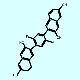 OC1=Cc2cc(O)c(-c3cc(F)c(-c4cc5ccc(O)cc5cc4O)cc3F)cc2CC1